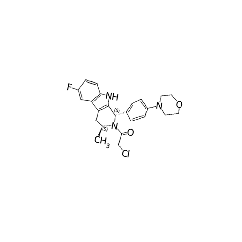 C[C@H]1Cc2c([nH]c3ccc(F)cc23)[C@H](c2ccc(N3CCOCC3)cc2)N1C(=O)CCl